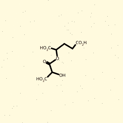 O=C(O)CCC(OC(=O)C(O)C(=O)O)C(=O)O